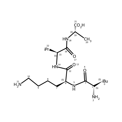 CC[C@H](C)[C@H](N)C(=O)N[C@@H](CCCCN)C(=O)N[C@H](C(=O)N[C@@H](C)C(=O)O)C(C)C